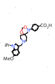 COc1ccc2c(CN3CCC4(CC3)CN(c3ccc(C(=O)O)cc3)OCO4)cn(C(C)C)c2c1